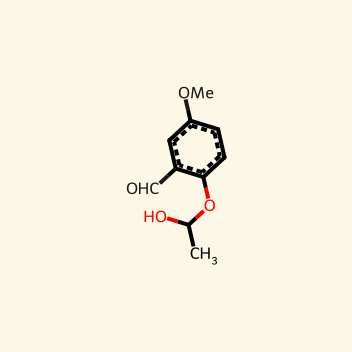 COc1ccc(OC(C)O)c(C=O)c1